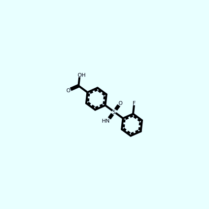 N=S(=O)(c1ccc(C(=O)O)cc1)c1ccccc1F